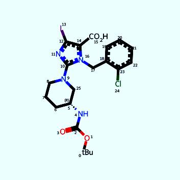 CC(C)(C)OC(=O)N[C@@H]1CCCN(c2nc(I)c(C(=O)O)n2Cc2ccccc2Cl)C1